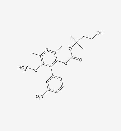 Cc1nc(C)c(OC(=O)OC(C)(C)CCO)c(-c2cccc([N+](=O)[O-])c2)c1OC(=O)O